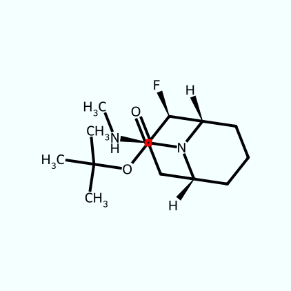 CN[C@@H]1C[C@H]2CCC[C@@H]([C@@H]1F)N2C(=O)OC(C)(C)C